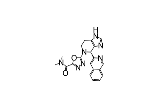 CN(C)C(=O)c1nnc(N2CCc3[nH]cnc3[C@H]2c2cc3ccccc3cn2)o1